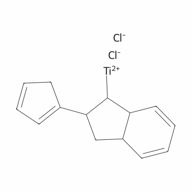 [Cl-].[Cl-].[Ti+2][CH]1C(C2=CC=CC2)CC2C=CC=CC21